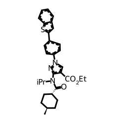 CCOC(=O)c1cn(-c2ccc(-c3cc4ccccc4s3)cc2)nc1N(C(=O)[C@H]1CC[C@H](C)CC1)C(C)C